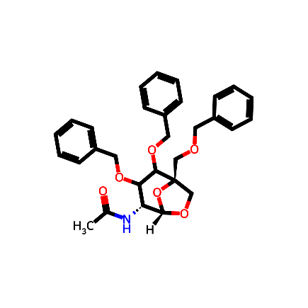 CC(=O)N[C@@H]1C(OCc2ccccc2)C(OCc2ccccc2)[C@]2(COCc3ccccc3)CO[C@H]1O2